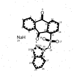 O=C1c2ccccc2C(=O)c2c1cccc2S(=O)(=O)On1nnc2ccccc21.[NaH]